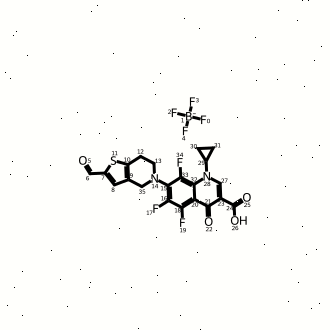 F[B-](F)(F)F.O=Cc1cc2c(s1)CCN(c1c(F)c(F)c3c(=O)c(C(=O)O)cn(C4CC4)c3c1F)C2